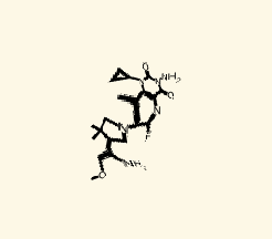 COCC(N)C1CN(c2c(F)nc3c(=O)n(N)c(=O)n(C4CC4)c3c2C)CC1(C)C